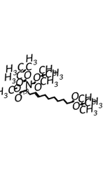 COC(=O)[C@H](CC=CCCCCCCC(=O)OC(C)(C)C)N(C(=O)OC(C)(C)C)C(=O)OC(C)(C)C